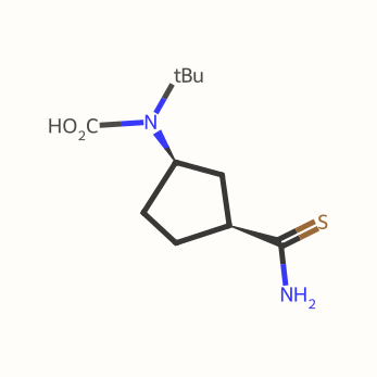 CC(C)(C)N(C(=O)O)[C@@H]1CC[C@H](C(N)=S)C1